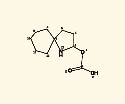 O=C(O)OC1CCC2(CCCCC2)N1